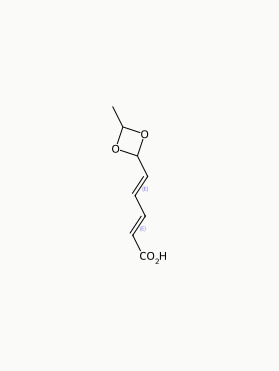 CC1OC(/C=C/C=C/C(=O)O)O1